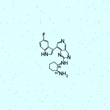 N[C@H]1CCCC[C@H]1Nc1ncc2cncc(-c3c[nH]c4ccc(F)cc34)c2n1